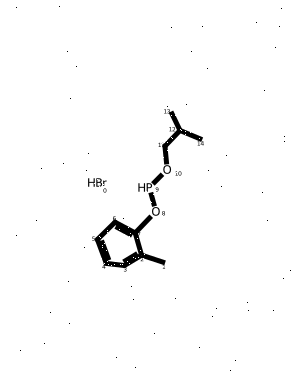 Br.Cc1ccccc1OPOCC(C)C